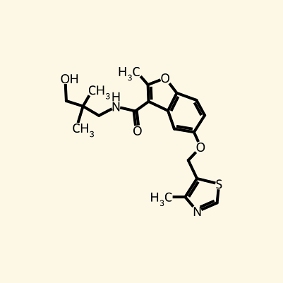 Cc1ncsc1COc1ccc2oc(C)c(C(=O)NCC(C)(C)CO)c2c1